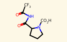 O=C(NC(=O)C(F)(F)F)C1CCCN1C(=O)O